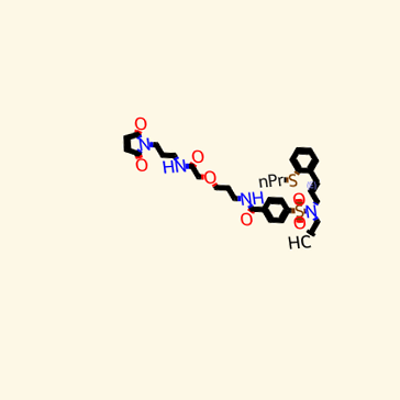 C#CCN(C/C=C/c1ccccc1SCCC)S(=O)(=O)c1ccc(C(=O)NCCCOCC(=O)NCCCN2C(=O)C=CC2=O)cc1